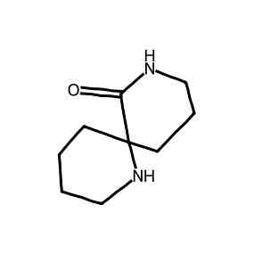 O=C1NCCCC12CCCCN2